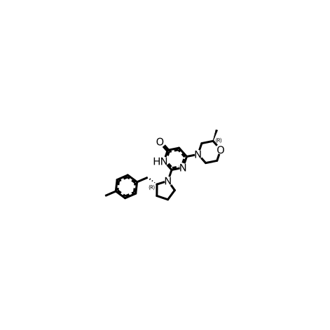 Cc1ccc(C[C@H]2CCCN2c2nc(N3CCO[C@H](C)C3)cc(=O)[nH]2)cc1